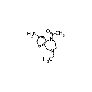 CCN1CCN(C(C)=O)c2cc(N)ccc2C1